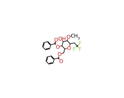 COC1C(CC(F)(F)F)OC(COC(=O)c2ccccc2)C(OC(=O)c2ccccc2)C1O